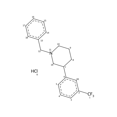 Cl.FC(F)(F)c1cccc(C2CCCN(Cc3ccccc3)C2)c1